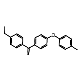 C=C(c1ccc(CC)cc1)c1ccc(Oc2ccc(C)cc2)cc1